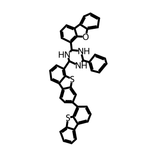 c1ccc(C2NC(c3cccc4c3oc3ccccc34)NC(c3cccc4c3sc3cc(-c5cccc6c5sc5ccccc56)ccc34)N2)cc1